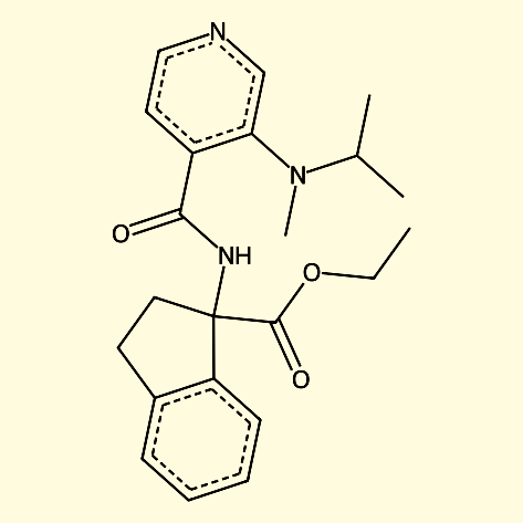 CCOC(=O)C1(NC(=O)c2ccncc2N(C)C(C)C)CCc2ccccc21